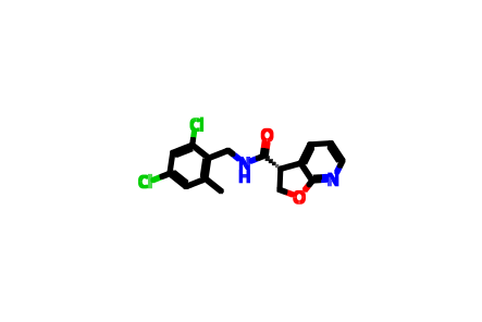 Cc1cc(Cl)cc(Cl)c1CNC(=O)[C@H]1COc2ncccc21